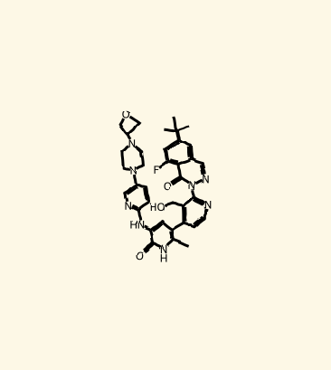 Cc1[nH]c(=O)c(Nc2ccc(N3CCN(C4COC4)CC3)cn2)cc1-c1ccnc(-n2ncc3cc(C(C)(C)C)cc(F)c3c2=O)c1CO